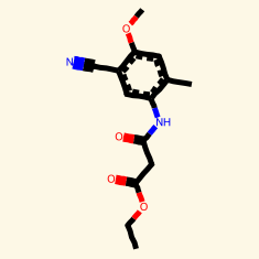 CCOC(=O)CC(=O)Nc1cc(C#N)c(OC)cc1C